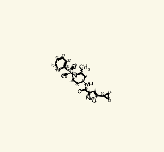 C[C@H]1C[C@H](NC(=O)c2cc(C3CC3)on2)CCN1S(=O)(=O)c1ccccn1